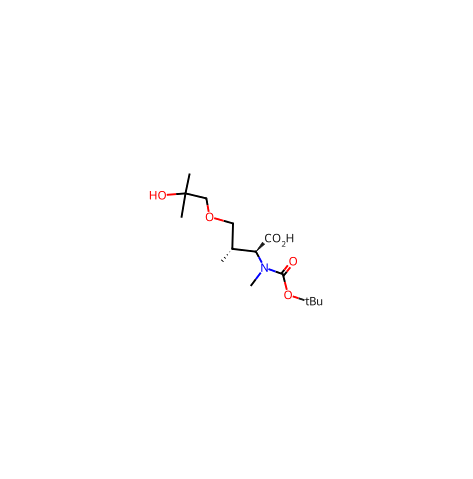 C[C@H](COCC(C)(C)O)[C@@H](C(=O)O)N(C)C(=O)OC(C)(C)C